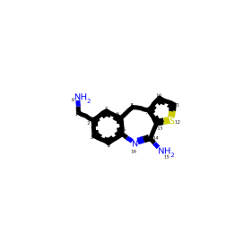 NCc1ccc2c(c1)Cc1ccsc1C(N)=N2